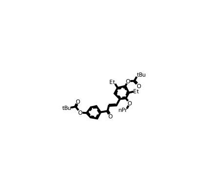 CCCOc1c(/C=C/C(=O)c2ccc(OC(=O)C(C)(C)C)cc2)cc(CC)c(OC(=O)C(C)(C)C)c1CC